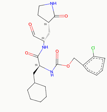 O=C[C@H](C[C@@H]1CCNC1=O)NC(=O)[C@H](CC1CCCCC1)NC(=O)OCc1ccccc1Cl